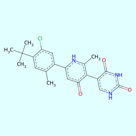 Cc1cc(C(C)(C)C)c(Cl)cc1-c1cc(=O)c(-c2c[nH]c(=O)[nH]c2=O)c(C)[nH]1